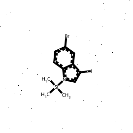 C[Si](C)(C)n1cc(I)c2cc(Br)ccc21